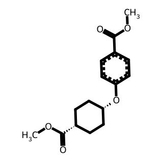 COC(=O)c1ccc(O[C@H]2CC[C@@H](C(=O)OC)CC2)cc1